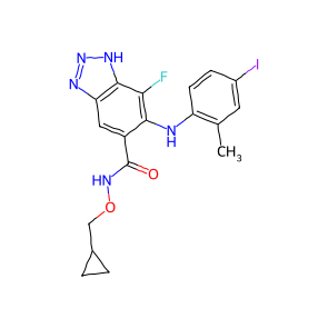 Cc1cc(I)ccc1Nc1c(C(=O)NOCC2CC2)cc2nn[nH]c2c1F